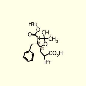 CC(C)C(C[C@@H]1OC(C)(C)N(C(=O)OC(C)(C)C)[C@H]1Cc1ccccc1)C(=O)O